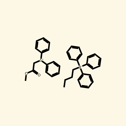 CCCC[B-](c1ccccc1)(c1ccccc1)c1ccccc1.COC(=O)C[S+](c1ccccc1)c1ccccc1